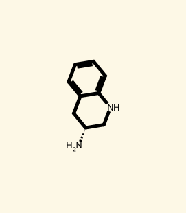 N[C@H]1CNc2ccccc2C1